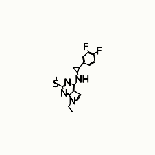 CCn1ccc2c(N[C@@H]3C[C@H]3c3ccc(F)c(F)c3)nc(SC)nc21